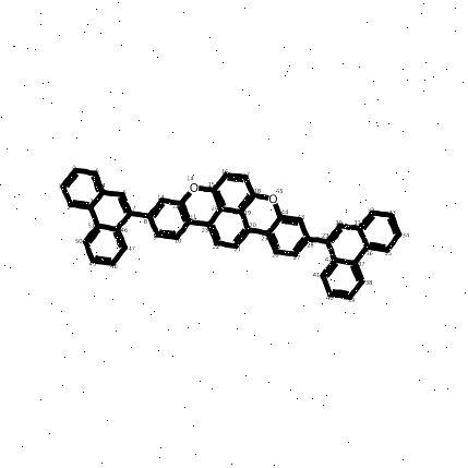 c1ccc2c(c1)cc(-c1ccc3c(c1)Oc1ccc4c5c(ccc-3c15)-c1ccc(-c3cc5ccccc5c5ccccc35)cc1O4)c1ccccc12